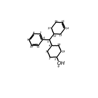 OC1CCC(C(c2ccccc2)C2CC=CCC2)CC1